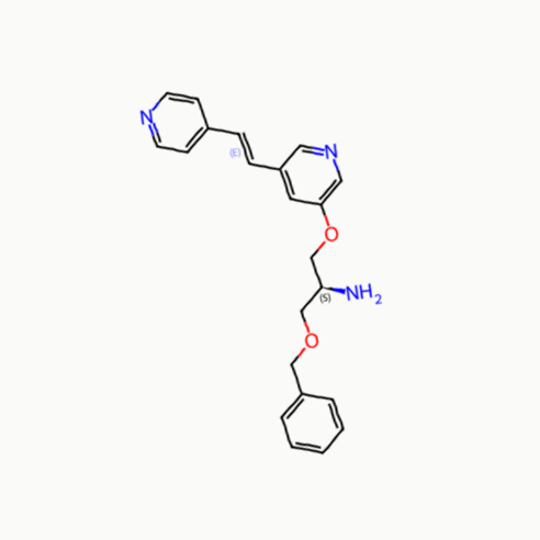 N[C@@H](COCc1ccccc1)COc1cncc(/C=C/c2ccncc2)c1